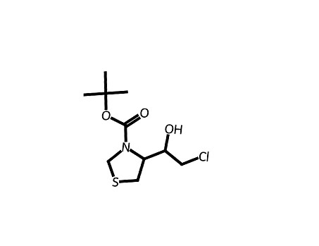 CC(C)(C)OC(=O)N1CSCC1C(O)CCl